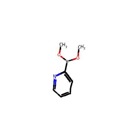 COB(OC)c1ccccn1